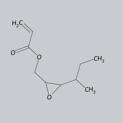 C=CC(=O)OCC1OC1C(C)CC